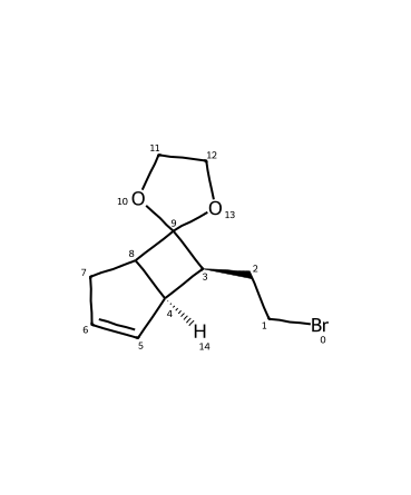 BrCC[C@H]1[C@H]2C=CCC2C12OCCO2